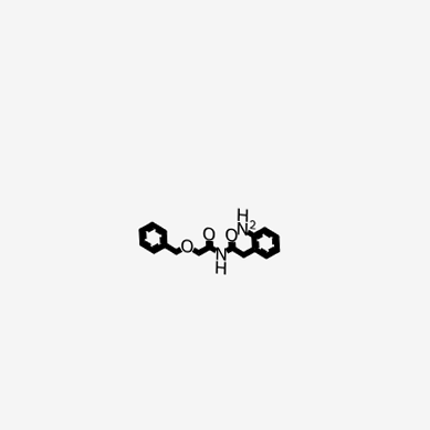 Nc1ccccc1CC(=O)NC(=O)COCc1ccccc1